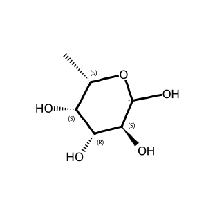 C[C@@H]1O[C](O)[C@@H](O)[C@H](O)[C@@H]1O